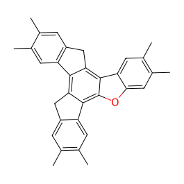 Cc1cc2c(cc1C)-c1c3c(c4oc5cc(C)c(C)cc5c4c1C2)-c1cc(C)c(C)cc1C3